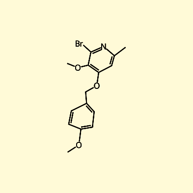 COc1ccc(COc2cc(C)nc(Br)c2OC)cc1